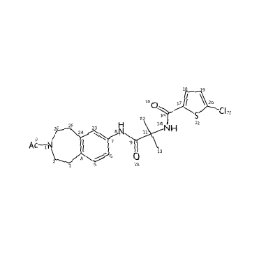 CC(=O)N1CCc2ccc(NC(=O)C(C)(C)NC(=O)c3ccc(Cl)s3)cc2CC1